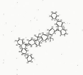 CC1(C)c2cc(-n3c4ccccc4c4ccc(-c5ccccc5)cc43)ccc2-c2cc3c(cc21)-c1ccc2cc(-n4c5ccccc5c5ccc(-c6ccccc6)cc54)ccc2c1C3(C)C